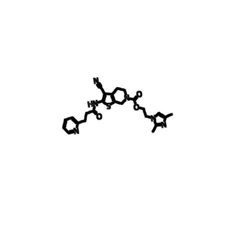 Cc1cn(CCOC(=O)N2CCc3c(sc(NC(=O)CCc4ccccn4)c3C#N)C2)c(C)n1